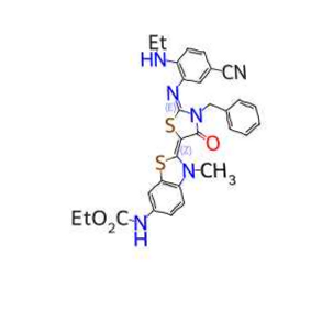 CCNc1ccc(C#N)cc1/N=C1/S/C(=C2\Sc3cc(NC(=O)OCC)ccc3N2C)C(=O)N1Cc1ccccc1